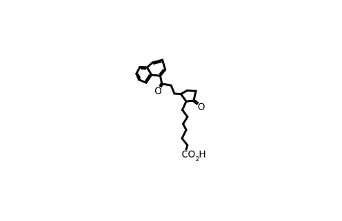 O=C(O)CCCCCCC1C(=O)CCC1CCC(=O)c1cccc2ccccc12